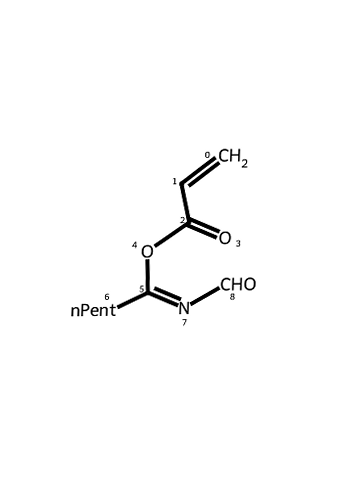 C=CC(=O)OC(CCCCC)=NC=O